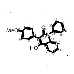 COc1ccc(-c2c(O)c3cccnc3n(-c3ccccc3)c2=O)cc1